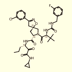 CCC[C@H](NC(=O)[C@@H]1C[C@]2(CC(c3cccc(Cl)c3)=NO2)CN1C(=O)[C@@H](NC(=O)NCc1cccc(F)c1)C(C)(C)C)C(=O)C(=O)NC1CC1